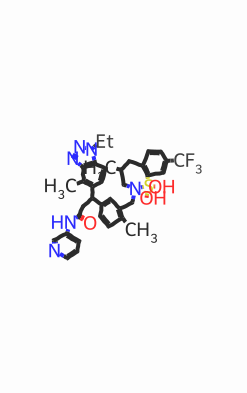 CCn1nnc2c(C)c(C(CC(=O)Nc3cccnc3)c3ccc(C)c(CN4CC(C)Cc5ccc(C(F)(F)F)cc5S4(O)O)c3)ccc21